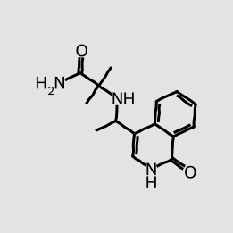 CC(NC(C)(C)C(N)=O)c1c[nH]c(=O)c2ccccc12